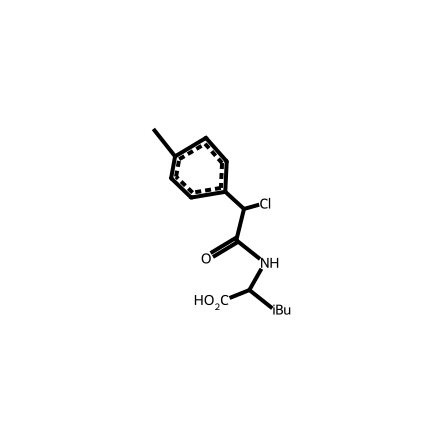 CCC(C)C(NC(=O)C(Cl)c1ccc(C)cc1)C(=O)O